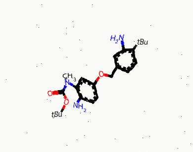 CN(C(=O)OC(C)(C)C)c1cc(OCc2ccc(C(C)(C)C)c(N)c2)ccc1N